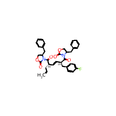 C=CC[C@@H](C=C[C@H](Cc1ccc(F)cc1)C(=O)N1C(=O)OCC1Cc1ccccc1)C(=O)N1C(=O)OCC1Cc1ccccc1